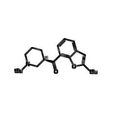 CC(C)(C)c1cc2cccc(C(=O)[C@@H]3CCCN(C(C)(C)C)C3)c2o1